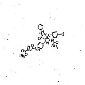 Cc1ccc(C2CC2)cc1N(C(N)=O)c1nc(-c2ccc(NC(=O)CNC(=O)OC(C)(C)C)cc2)c(C(=O)NCc2ccccc2)s1